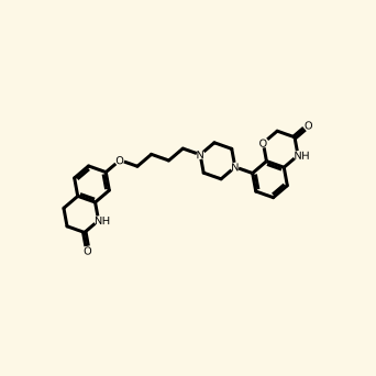 O=C1CCc2ccc(OCCCCN3CCN(c4cccc5c4OCC(=O)N5)CC3)cc2N1